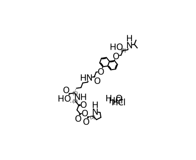 CC(C)NC[C@@H](O)COc1cccc2c(OCC(=O)NCCCC[C@H](N[C@@H](C)C(=O)CC(=O)OC(=O)[C@@H]3CCCN3)C(=O)O)cccc12.Cl.Cl.O